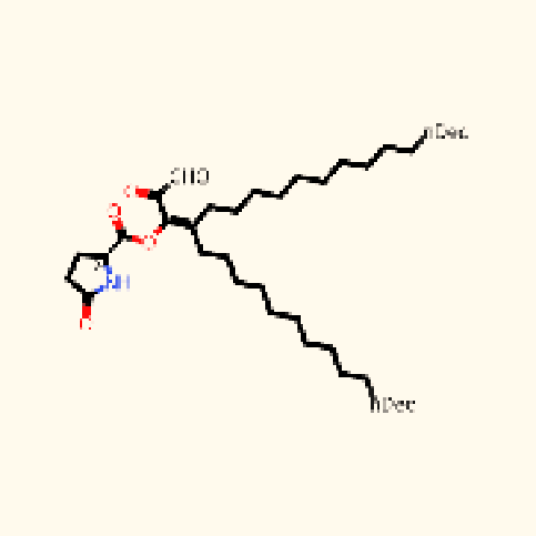 CCCCCCCCCCCCCCCCCCCCC(CCCCCCCCCCCCCCCCCCCC)=C(OC(=O)[C@@H]1CCC(=O)N1)C(=O)C=O